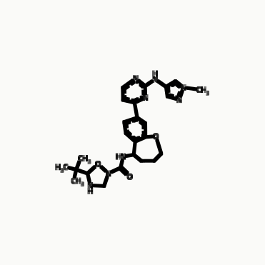 Cn1cc(Nc2nccc(-c3ccc4c(c3)OCCCC4NC(=O)N3CNC(C(C)(C)C)O3)n2)cn1